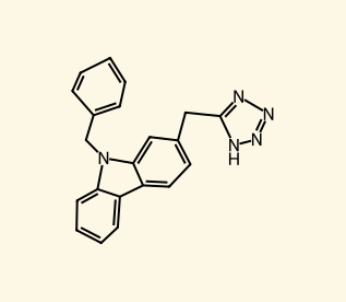 c1ccc(Cn2c3ccccc3c3ccc(Cc4nnn[nH]4)cc32)cc1